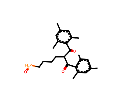 Cc1cc(C)c(C(=O)C(CCCC[PH2]=O)C(=O)c2c(C)cc(C)cc2C)c(C)c1